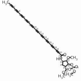 CC#CC#CC#CC#CC#CC#CC#CC#CC#CC#CC(=O)N[C@@H]1C[C@H](COC)C(OP(=O)(O)OC)[C@@H]1OC